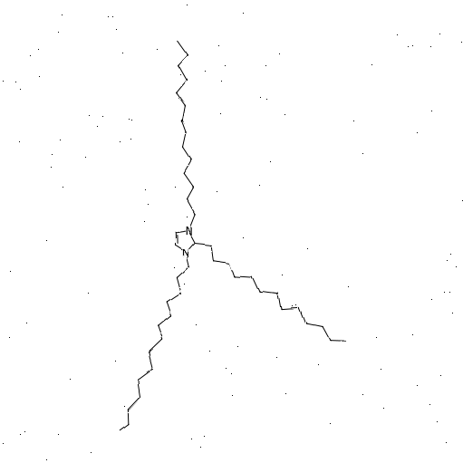 CCCCCCCCCCCCCCN1C=CN(CCCCCCCCCCCCCC)C1CCCCCCCCCCCCC